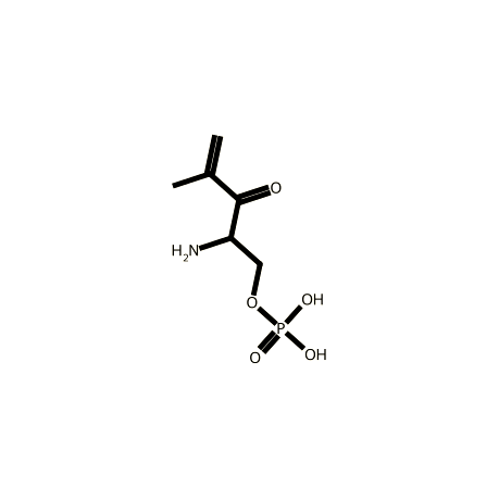 C=C(C)C(=O)C(N)COP(=O)(O)O